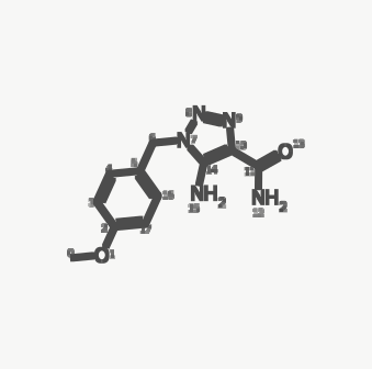 COc1ccc(Cn2nnc(C(N)=O)c2N)cc1